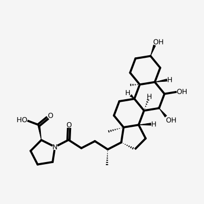 C[C@H](CCC(=O)N1CCC[C@H]1C(=O)O)[C@H]1CC[C@H]2[C@@H]3[C@H](O)C(O)[C@H]4C[C@H](O)CC[C@]4(C)[C@H]3CC[C@]12C